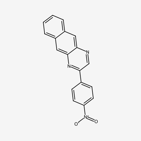 O=[N+]([O-])c1ccc(-c2cnc3cc4ccccc4cc3n2)cc1